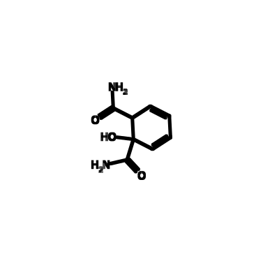 NC(=O)C1C=CC=CC1(O)C(N)=O